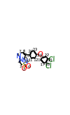 O=S1(=O)CCN2N=CC=C(c3ccc(Oc4ccc(Cl)c(Cl)c4)cc3)C2=N1